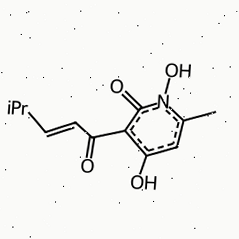 Cc1cc(O)c(C(=O)C=CC(C)C)c(=O)n1O